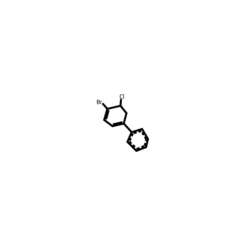 Cl[C]1CC(c2ccccc2)=CC=C1Br